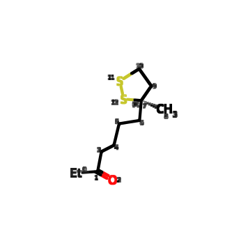 CCC(=O)CCCC[C@]1(C)CCSS1